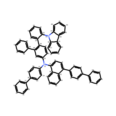 c1ccc(-c2ccc(-c3ccc(N(c4ccc(-c5ccccc5)cc4)c4ccc(-c5ccccc5-n5c6ccccc6c6ccccc65)c(-c5ccccc5)c4)c4ccccc34)cc2)cc1